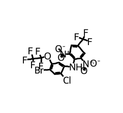 O=[N+]([O-])c1cc(C(F)(F)F)cc([N+](=O)[O-])c1Nc1cc(OC(F)(F)C(F)(F)F)c(Br)cc1Cl